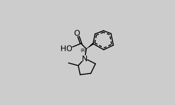 CC1CCCN1[C@@H](C(=O)O)c1ccccc1